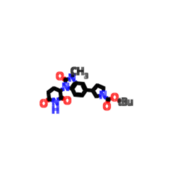 Cn1c(=O)n(C2CCC(=O)NC2=O)c2ccc(C3CCN(C(=O)OC(C)(C)C)C3)cc21